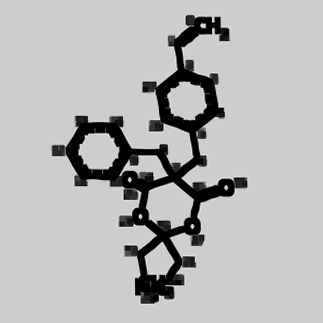 C=Cc1ccc(CC2(Cc3ccccc3)C(=O)OC(CC)(CC)OC2=O)cc1